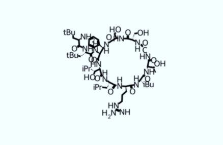 CCC(C)[C@@H]1NC(=O)[C@@H](CCCNC(=N)N)NC(=O)[C@H](CC(C)C)NC(=O)[C@H]([C@H](O)C(C)C)NC(=O)[C@@H](NC(=O)[C@H](CC(C)(C)C)NC(=O)[C@H](N)CC(C)(C)C)[C@@H](c2ccccc2)NC(=O)C(CO)NC(=O)[C@H](CO)NC(=O)CNC(=O)[C@H]([C@H](C)O)NC1=O